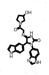 O=C(CN=C1NC(=O)N(c2ccc3[nH]cnc3c2)C1c1ccc2[nH]ccc2c1)N1CCC(O)C1